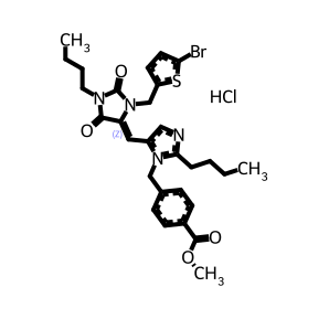 CCCCc1ncc(/C=C2/C(=O)N(CCCC)C(=O)N2Cc2ccc(Br)s2)n1Cc1ccc(C(=O)OC)cc1.Cl